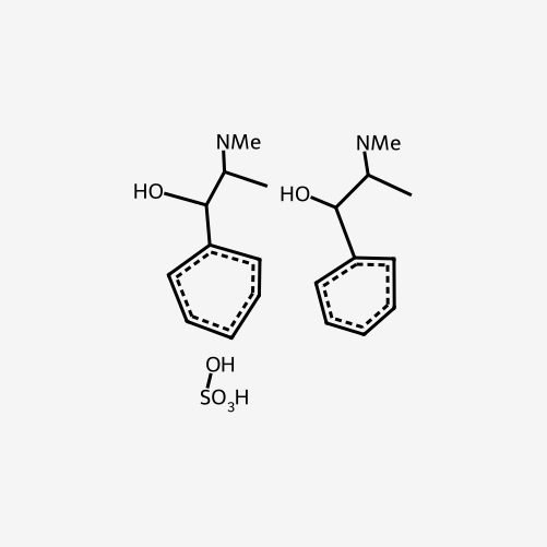 CNC(C)C(O)c1ccccc1.CNC(C)C(O)c1ccccc1.O=S(=O)(O)O